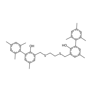 Cc1cc(C)c(-c2cc(C)cc(CSCCSCc3cc(C)cc(-c4c(C)cc(C)cc4C)c3O)c2O)c(C)c1